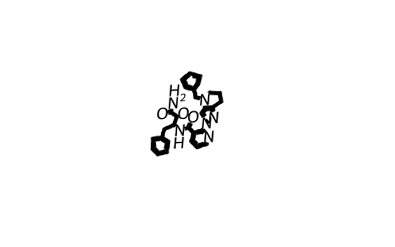 NC(=O)C(=O)C(Cc1ccccc1)NC(=O)c1cccnc1-n1cc2c(n1)CCCN2Cc1ccccc1